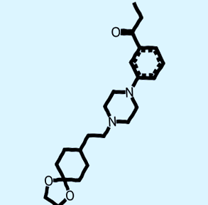 CCC(=O)c1cccc(N2CCN(CCC3CCC4(CC3)OCCO4)CC2)c1